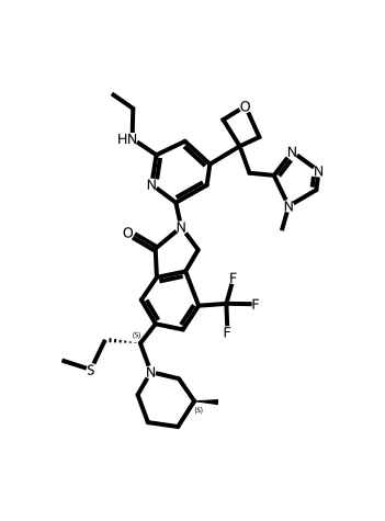 CCNc1cc(C2(Cc3nncn3C)COC2)cc(N2Cc3c(cc([C@@H](CSC)N4CCC[C@H](C)C4)cc3C(F)(F)F)C2=O)n1